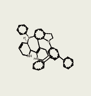 C1=C[C@@H]2C(NC1)C1=C(CCCN1)c1c(ccc3c1N(c1cc(-c4ccccc4)cc(-c4ccccc4)c1)CC3)N2c1ccccc1